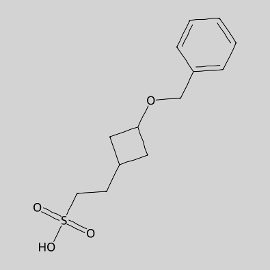 O=S(=O)(O)CCC1CC(OCc2ccccc2)C1